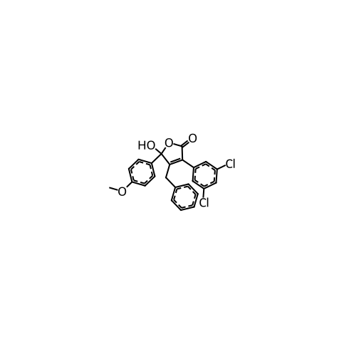 COc1ccc(C2(O)OC(=O)C(c3cc(Cl)cc(Cl)c3)=C2Cc2ccccc2)cc1